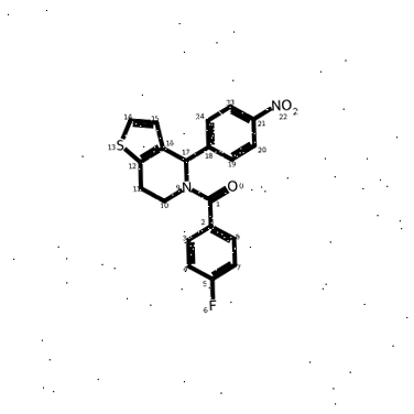 O=C(c1ccc(F)cc1)N1CCc2sccc2C1c1ccc([N+](=O)[O-])cc1